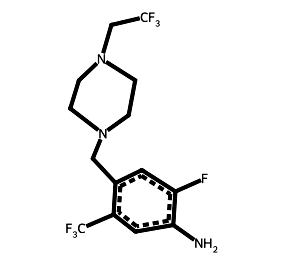 Nc1cc(C(F)(F)F)c(CN2CCN(CC(F)(F)F)CC2)cc1F